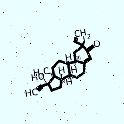 C#C[C@]1(O)CC[C@H]2[C@@H]3CCC4=CC(=O)C(I)(C=C)C[C@@H]4[C@H]3CC[C@@]21C